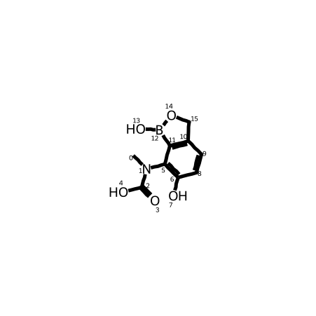 CN(C(=O)O)c1c(O)ccc2c1B(O)OC2